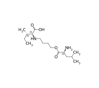 CC[C@H](C)[C@H](NCCCCOC(=O)[C@@H](N)CC(C)C)C(=O)O